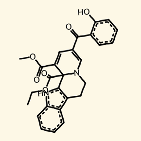 CCOC(=O)C12C(C(=O)OC)=CC(C(=O)c3ccccc3O)=CN1CCc1c2[nH]c2ccccc12